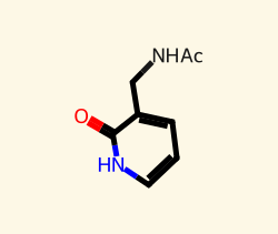 CC(=O)NCc1ccc[nH]c1=O